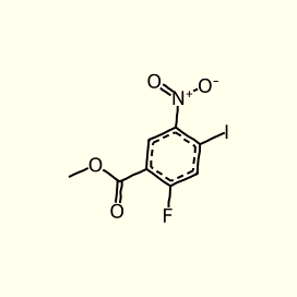 COC(=O)c1cc([N+](=O)[O-])c(I)cc1F